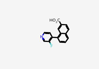 O=C(O)c1ccc2cccc(-c3ccncc3F)c2c1